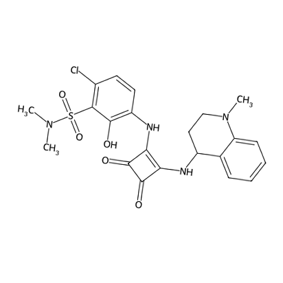 CN1CCC(Nc2c(Nc3ccc(Cl)c(S(=O)(=O)N(C)C)c3O)c(=O)c2=O)c2ccccc21